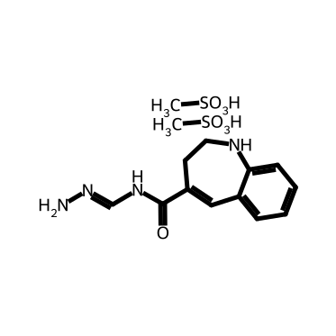 CS(=O)(=O)O.CS(=O)(=O)O.NN=CNC(=O)C1=Cc2ccccc2NCC1